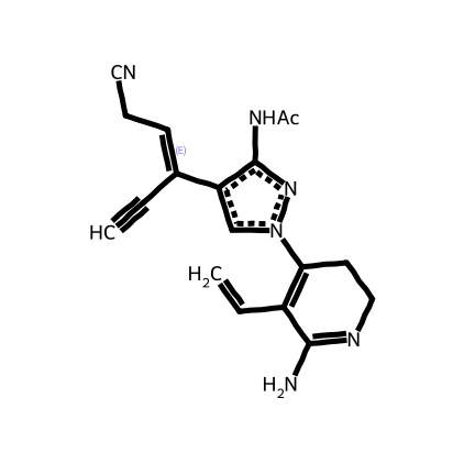 C#C/C(=C\CC#N)c1cn(C2=C(C=C)C(N)=NCC2)nc1NC(C)=O